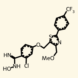 COCc1nc(-c2ccc(C(F)(F)F)cc2)sc1COc1ccc(C(=N)NO)c(Cl)c1